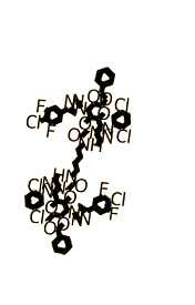 Cc1nc(C2OC3COC(c4ccccc4)OC3C(n3cc(-c4cc(F)c(Cl)c(F)c4)nn3)C2OCC(=O)NCCCCNC(=O)COC2C(c3nc(C)nn3-c3cc(Cl)ccc3Cl)OC3OC(c4ccccc4)OC3C2n2cc(-c3cc(F)c(Cl)c(F)c3)nn2)n(-c2cc(Cl)ccc2Cl)n1